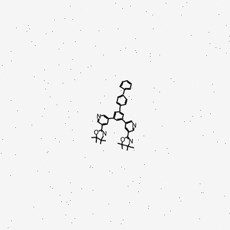 CC1(C)N=C(c2cncc(-c3cc(-c4ccc(-c5ccccc5)cc4)cc(-c4cncc(C5=NC(C)(C)C(C)(C)O5)c4)c3)c2)OC1(C)C